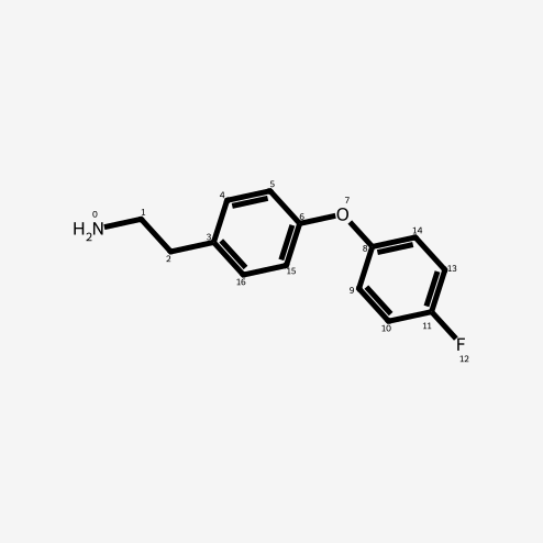 NCCc1ccc(Oc2ccc(F)cc2)cc1